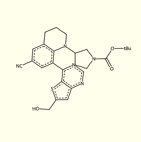 CC(C)(C)OC(=O)N1CCC(N2CCCc3cc(C#N)cc(-c4ncnc5cc(CO)sc45)c32)C1